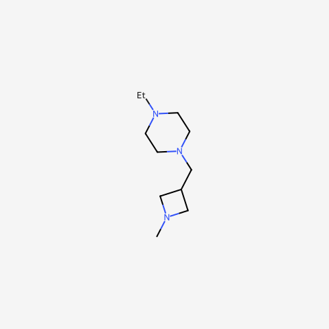 CCN1CCN(CC2CN(C)C2)CC1